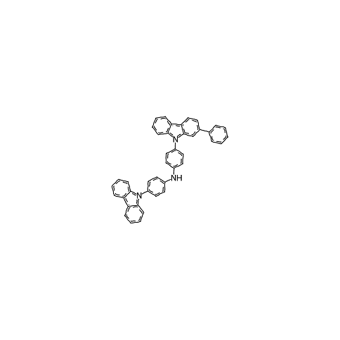 c1ccc(-c2ccc3c4ccccc4n(-c4ccc(Nc5ccc(-n6c7ccccc7c7ccccc76)cc5)cc4)c3c2)cc1